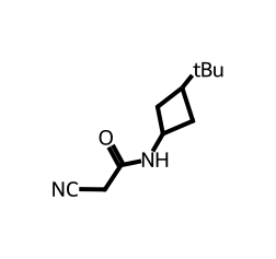 CC(C)(C)C1CC(NC(=O)CC#N)C1